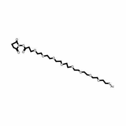 CC(=O)SCCOCCOCCOCCOCCOCCOCCOCCOCCC(=O)ON1C(=O)CCC1=O